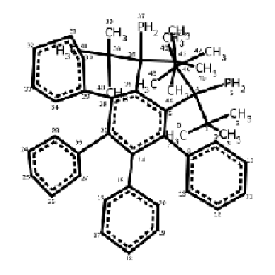 CC(C)(C)C(P)(c1c(-c2ccccc2)c(-c2ccccc2)c(-c2ccccc2)c(-c2ccccc2)c1C(P)(C(C)(C)C)C(C)(C)C)C(C)(C)C